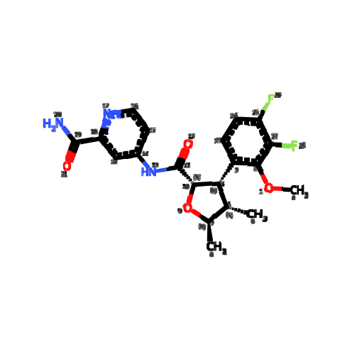 COc1c([C@@H]2[C@H](C)[C@@H](C)O[C@@H]2C(=O)Nc2ccnc(C(N)=O)c2)ccc(F)c1F